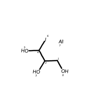 OCC(O)C(O)I.[Al]